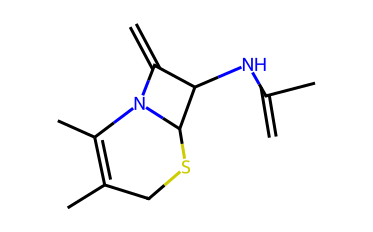 C=C(C)NC1C(=C)N2C(C)=C(C)CSC12